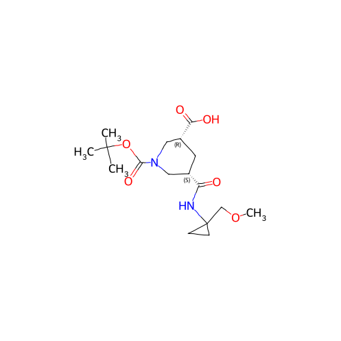 COCC1(NC(=O)[C@H]2C[C@@H](C(=O)O)CN(C(=O)OC(C)(C)C)C2)CC1